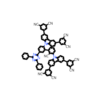 N#Cc1cc(C#N)cc(-c2ccc3c(c2)c2cc(-c4cc(C#N)cc(C#N)c4)ccc2n3-c2ccc(-c3nc(-c4ccccc4)nc(-c4ccccc4)n3)cc2-c2cccc(-n3c4ccc(-c5cc(C#N)cc(C#N)c5)cc4c4cc(-c5cc(C#N)cc(C#N)c5)ccc43)c2C#N)c1